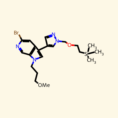 COCCCn1cc(-c2cnn(COCC[Si](C)(C)C)c2)c2cc(Br)ncc21